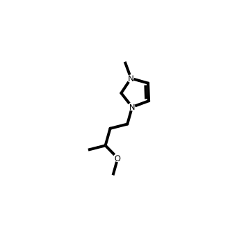 COC(C)CCN1C=CN(C)C1